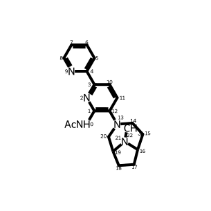 CC(=O)Nc1nc(-c2ccccn2)ccc1N1CCC2CCC(C1)N2C